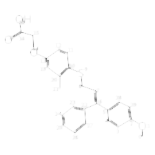 COc1ccc(C(=CCSc2ccc(OCC(=O)O)cc2C)c2ccccc2)cc1